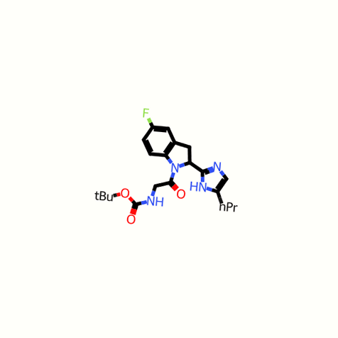 CCCc1cnc(C2Cc3cc(F)ccc3N2C(=O)CNC(=O)OC(C)(C)C)[nH]1